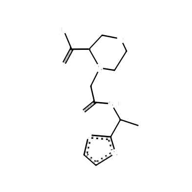 BC(=C)C1COCCN1CC(=C)NC(C)c1nccs1